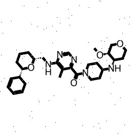 CO[C@H]1COCC[C@H]1NC1CCN(C(=O)c2ncnc(NC[C@H]3CCC[C@@H](C4C=CC=CC4)O3)c2C)CC1